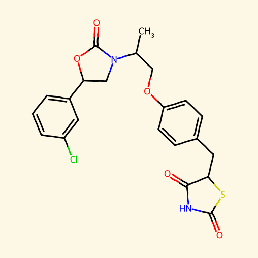 CC(COc1ccc(CC2SC(=O)NC2=O)cc1)N1CC(c2cccc(Cl)c2)OC1=O